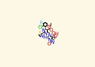 CCOC(=O)C1=C(CN2CCN3C(=O)N(C)C[C@@H]3[C@H]2C(=O)O)NC(c2nccs2)=N[C@H]1c1cccc(F)c1Cl